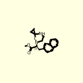 COC(=O)[C@H](Cc1ccc2ccccc2c1)N1CCNC2(CC2)C1